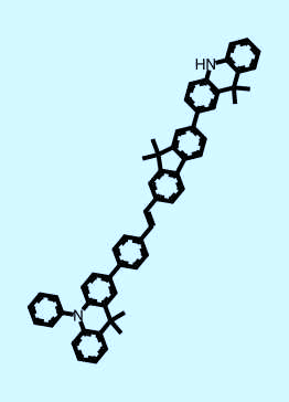 CC1(C)c2ccccc2Nc2ccc(-c3ccc4c(c3)C(C)(C)c3cc(/C=C/c5ccc(-c6ccc7c(c6)C(C)(C)c6ccccc6N7c6ccccc6)cc5)ccc3-4)cc21